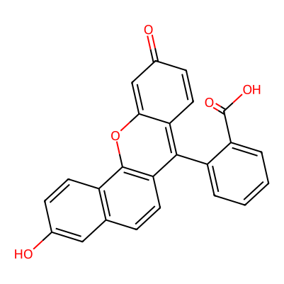 O=C(O)c1ccccc1-c1c2ccc(=O)cc-2oc2c1ccc1cc(O)ccc12